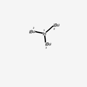 CC[CH](C)[In]([CH](C)CC)[CH](C)CC